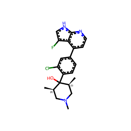 C[C@@H]1CN(C)C[C@H](C)C1(O)c1ccc(-c2ccnc3[nH]cc(F)c23)cc1Cl